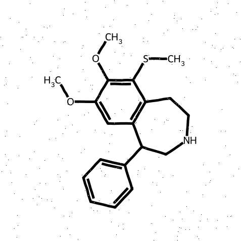 COc1cc2c(c(SC)c1OC)CCNCC2c1ccccc1